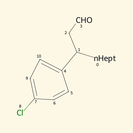 CCCCCCCC(CC=O)c1ccc(Cl)cc1